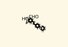 O=Cc1cc(/C=C/c2ccc(N3CCCCC3)cc2)cc(F)c1O